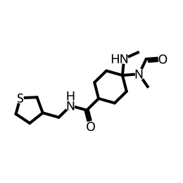 CNC1(N(C)C=O)CCC(C(=O)NCC2CCSC2)CC1